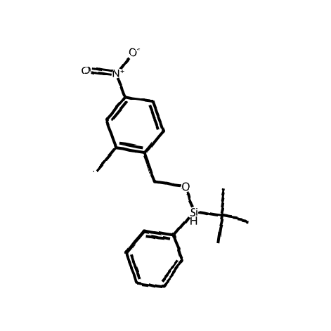 [CH2]c1cc([N+](=O)[O-])ccc1CO[SiH](c1ccccc1)C(C)(C)C